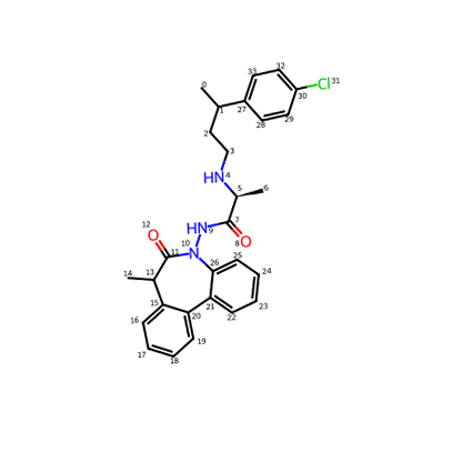 CC(CCN[C@@H](C)C(=O)NN1C(=O)C(C)c2ccccc2-c2ccccc21)c1ccc(Cl)cc1